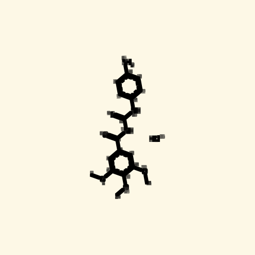 COc1cc(C(=O)NC(=S)Nc2ccc(N)cc2)cc(OC)c1OC.Cl